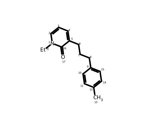 CCn1cccc(CCCc2ccc(C)cc2)c1=O